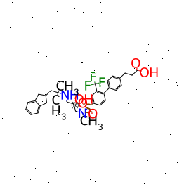 CN(C[C@H](O)CNC(C)(C)CC1Cc2ccccc2C1)S(=O)(=O)c1ccc(-c2ccc(CCC(=O)O)cc2)c(C(F)(F)F)c1